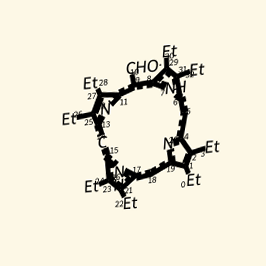 CCC1=C(CC)c2cc3[nH]c(c([C]=O)c4nc(cc5[nH]c(cc1n2)c(CC)c5CC)C(CC)=C4CC)c(CC)c3CC